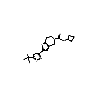 O=C(NC1CCC1)N1CCc2sc(-c3noc(C(F)(F)F)n3)cc2C1